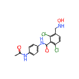 CC(=O)Nc1ccc(NC(=O)c2c(Cl)ccc(CNO)c2Cl)cc1